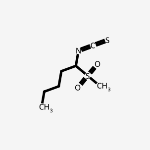 CCCCC(N=C=S)S(C)(=O)=O